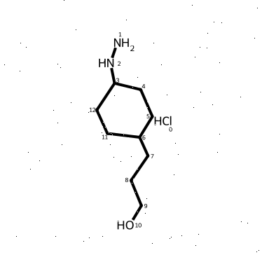 Cl.NNC1CCC(CCCO)CC1